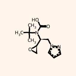 CC(C)(C)N(C(=O)O)[C@@H](Cn1cccn1)[C@H]1CO1